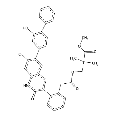 COC(=O)C(C)(C)COC(=O)Cc1ccccc1-c1cc2cc(-c3ccc(-c4ccccc4)c(O)c3)c(Cl)cc2[nH]c1=O